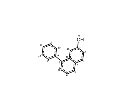 Oc1ccc2ccnc(-c3ccccc3)c2c1